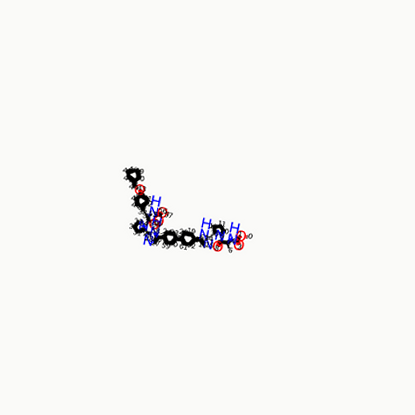 COC(=O)N[C@@H](C)C(=O)N1CCC[C@H]1c1ncc(-c2ccc(-c3ccc(-c4cnc([C@@H]5CCCN5C(=O)[C@H](Cc5ccc(OCc6ccccc6)cc5)NC(=O)OC)[nH]4)cc3)cc2)[nH]1